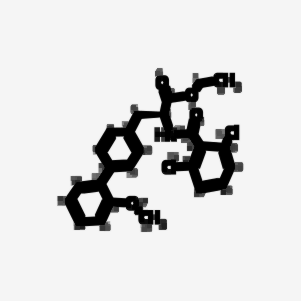 CCOC(=O)[C@H](Cc1ccc(-c2ccccc2OC)cc1)NC(=O)c1c(Cl)cccc1Cl